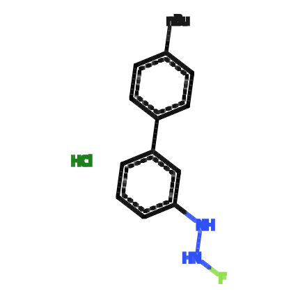 CCCCc1ccc(-c2cccc(NNF)c2)cc1.Cl